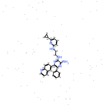 Nc1nc(-c2ccccc2)c(-c2ccc3ncccc3c2)nc1NCCNc1cccc(C2CC2)n1